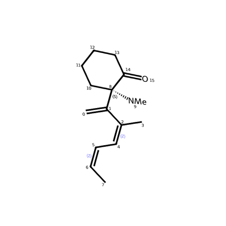 C=C(/C(C)=C\C=C/C)[C@@]1(NC)CCCCC1=O